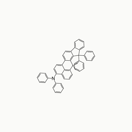 CC1(C)c2c(ccc3c2C(c2ccccc2)(c2ccccc2)c2ccccc2-3)-c2ccc(N(c3ccccc3)c3ccccc3)c3cccc1c23